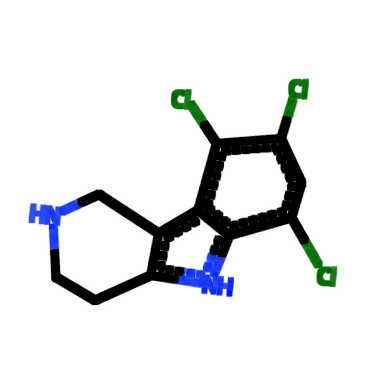 Clc1cc(Cl)c2[nH]c3c(c2c1Cl)CNCC3